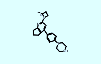 C[C@H]1CCN1c1nc2c(c(-c3ccc(N4CCNCC4)cc3)n1)CCC2